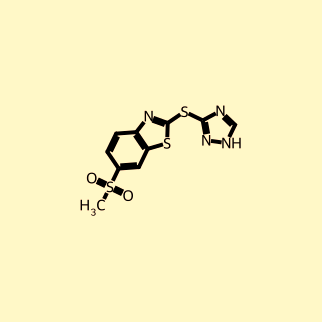 CS(=O)(=O)c1ccc2nc(Sc3nc[nH]n3)sc2c1